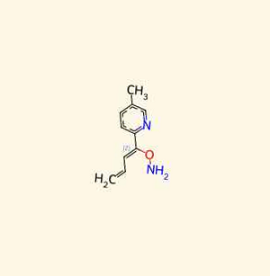 C=C/C=C(\ON)c1ccc(C)cn1